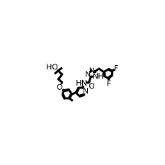 Cc1ccc(OCCCC(C)(C)O)cc1-c1ccnc(NC(=O)c2nnc(Cc3cc(F)cc(F)c3)[nH]2)c1